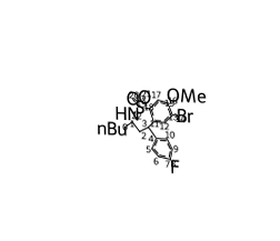 CCCCC1CC(c2ccc(F)cc2)c2cc(Br)c(OC)cc2S(=O)(=O)N1